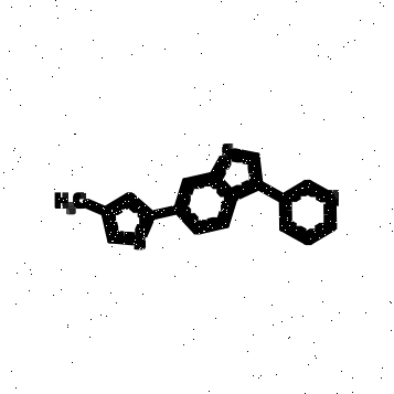 Cc1csc(-c2ccc3c(-c4cccnc4)csc3c2)c1